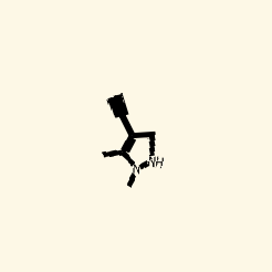 C#CC1=C(C)N(C)NC1